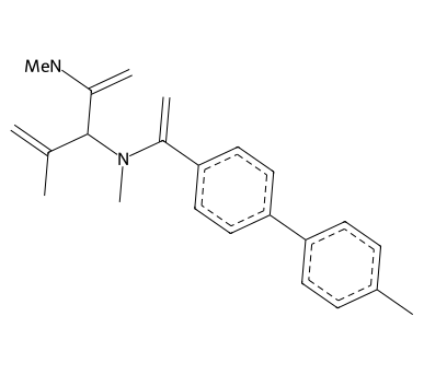 C=C(C)C(C(=C)NC)N(C)C(=C)c1ccc(-c2ccc(C)cc2)cc1